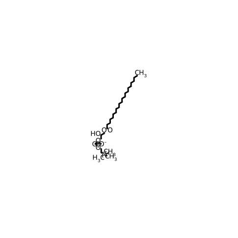 CCCCCCCCCCCCCCCCCCCCCC(=O)OCC(O)COP(=O)([O-])OCC[N+](C)(C)C